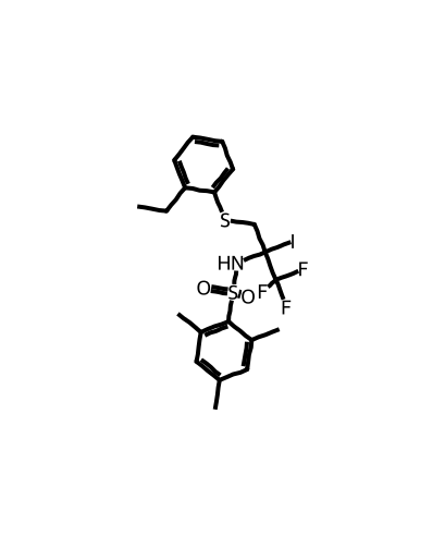 CCc1ccccc1SCC(I)(NS(=O)(=O)c1c(C)cc(C)cc1C)C(F)(F)F